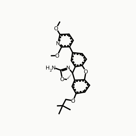 COc1ccc(-c2ccc3c(c2)[C@@]2(COC(N)=N2)c2cc(OCC(C)(C)C)ccc2O3)c(OC)n1